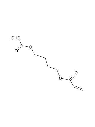 C=CC(=O)OCCCCOC(=O)C=O